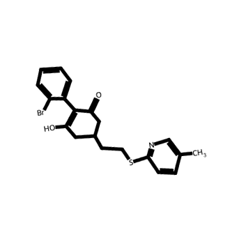 Cc1ccc(SCCC2CC(=O)C(c3ccccc3Br)=C(O)C2)nc1